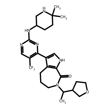 CC(C1CCOC1)N1CCCc2c(-c3nc(NC4CCC(C)(C)NC4)ncc3C(F)(F)F)c[nH]c2C1=O